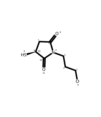 [O]CCCN1C(=O)C[C@H](S)C1=O